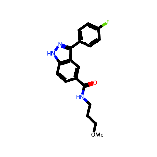 COCCCNC(=O)c1ccc2[nH]nc(-c3ccc(F)cc3)c2c1